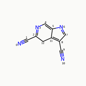 N#CC1=NC=C2N=CC(C#N)=C2C1